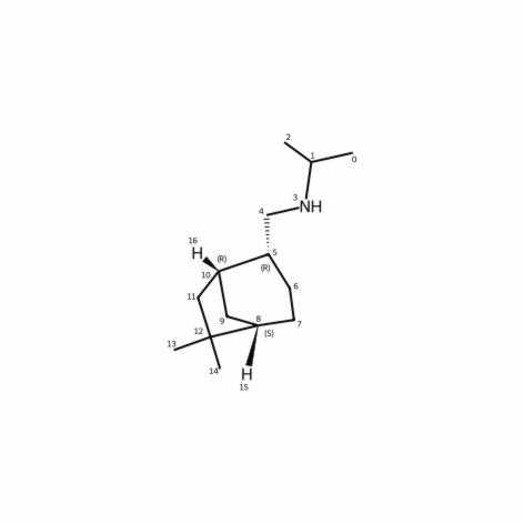 CC(C)NC[C@@H]1CC[C@H]2C[C@@H]1CC2(C)C